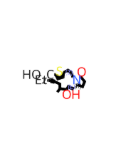 CCC#CCC(C)C(O)/C=C/[C@H]1CCC(=O)N1C/C=C\c1ccc(C(=O)O)s1